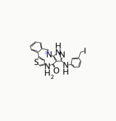 NC(=O)c1c(Nc2cccc(CI)c2)n[nH]c1/N=C/c1ccccc1-c1cccs1